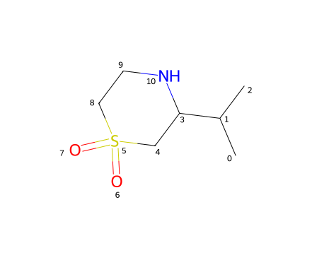 CC(C)C1CS(=O)(=O)CCN1